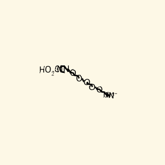 [N-]=[N+]=NCCOCCOCCOCCOCCOCCN1CCN(C(=O)O)CC1